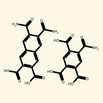 NC(=O)c1cc(C(=O)O)c(C(=O)O)cc1C(=O)O.NC(=O)c1cc2cc(C(=O)O)c(C(=O)O)cc2cc1C(N)=O